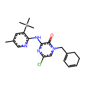 Cc1cnc(Nc2nc(Cl)cn(CC3=CC=CCC3)c2=O)c([Si](C)(C)C)c1